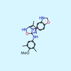 COc1c(C)cc(NC23N=CC(C)=C(NO2)N3c2ccc3c(c2)NCO3)cc1C